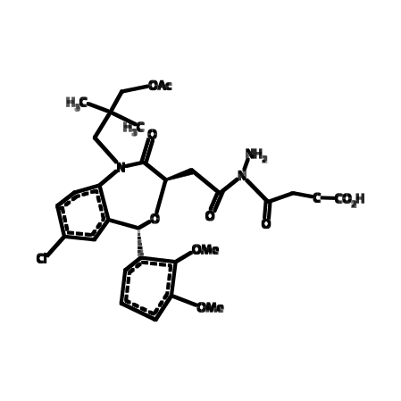 COc1cccc([C@H]2O[C@H](CC(=O)N(N)C(=O)CCC(=O)O)C(=O)N(CC(C)(C)COC(C)=O)c3ccc(Cl)cc32)c1OC